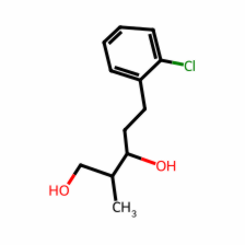 CC(CO)C(O)CCc1ccccc1Cl